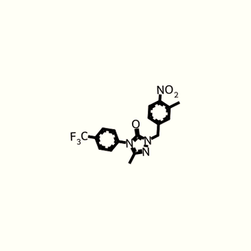 Cc1cc(Cn2nc(C)n(-c3ccc(C(F)(F)F)cc3)c2=O)ccc1[N+](=O)[O-]